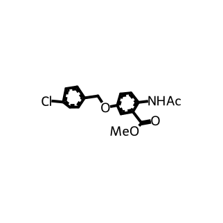 COC(=O)c1cc(OCc2ccc(Cl)cc2)ccc1NC(C)=O